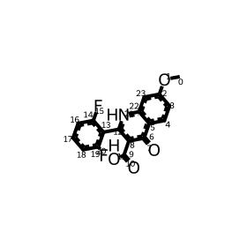 COc1ccc2c(=O)c(C(=O)O)c(-c3c(F)cccc3F)[nH]c2c1